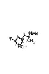 CNC(C)Cc1cccc(F)c1.Cl